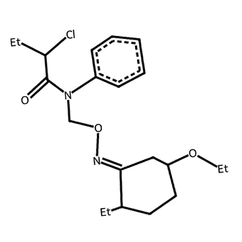 CCOC1CCC(CC)C(=NOCN(C(=O)C(Cl)CC)c2ccccc2)C1